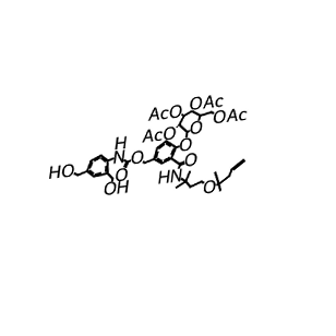 C=CCC(C)(C)OCCC(C)(C)NC(=O)c1cc(COC(=O)Nc2ccc(CO)cc2CO)ccc1OC1OC(COC(C)=O)C(OC(C)=O)[C@H](OC(C)=O)[C@H]1OC(C)=O